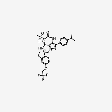 CC(C)c1ccc(-c2nn3c(c2NC(=O)CS(C)(=O)=O)C(=O)N[C@@]2(CCc4cc(OCC(F)(F)F)ccc42)C3)cc1